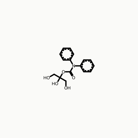 O=C(OC(O)(CO)CO)N(c1ccccc1)c1ccccc1